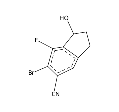 N#Cc1cc2c(c(F)c1Br)C(O)CC2